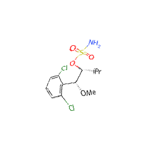 CO[C@H](c1c(Cl)cccc1Cl)[C@H](OS(N)(=O)=O)C(C)C